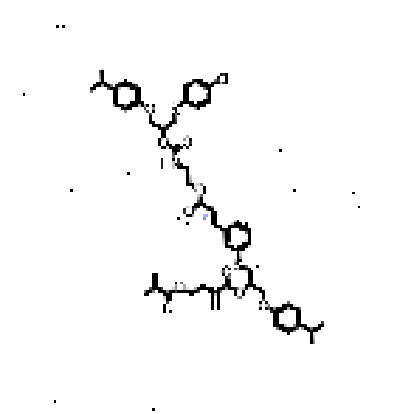 C=C(C)C(=O)OCCNC(=O)OC(COc1ccc(C(C)C)cc1)CSc1cccc(/C=C/C(=O)OCCNC(=O)OC(COc2ccc(C(C)C)cc2)CSc2ccc(Cl)cc2)c1